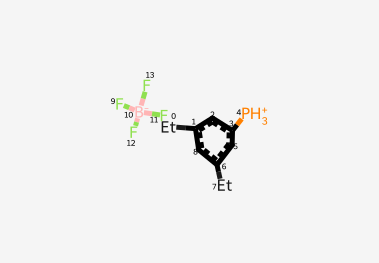 CCc1cc([PH3+])cc(CC)c1.F[B-](F)(F)F